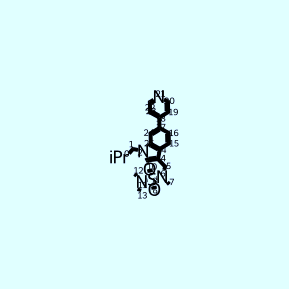 CC(C)Cn1cc(CN(C)S(=O)(=O)N(C)C)c2ccc(-c3ccncc3)cc21